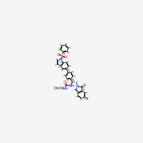 O=CNC(=O)N[C@@H](CN1Cc2ccc(F)cc2C1=O)c1ccc(-c2ccc3c(ccn3S(=O)(=O)c3ccccc3)c2)cc1